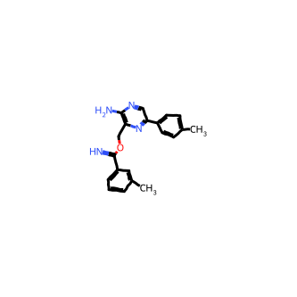 Cc1ccc(-c2cnc(N)c(COC(=N)c3cccc(C)c3)n2)cc1